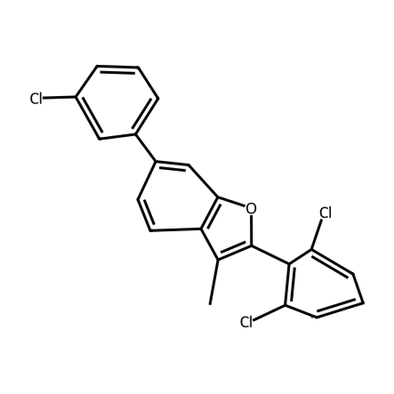 Cc1c(-c2c(Cl)[c]ccc2Cl)oc2cc(-c3cccc(Cl)c3)ccc12